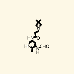 CC1NC=C(NC(=O)CCN2CC(C)(C)C2)C=C1NC=O